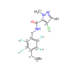 CCc1nn(C)c(C(=O)NCc2c(F)c(F)c(COCC(C)C)c(F)c2F)c1Cl